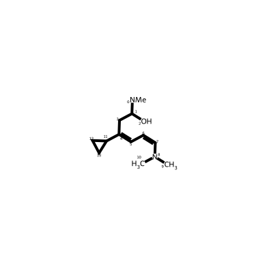 CNC(O)C/C(=C\C=C/N(C)C)C1CC1